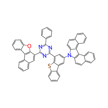 c1ccc(-c2nc(-c3cc4ccccc4c4c3oc3ccccc34)nc(-c3cc(-n4c5ccc6ccccc6c5c5c6ccccc6ccc54)cc4c3sc3ccccc34)n2)cc1